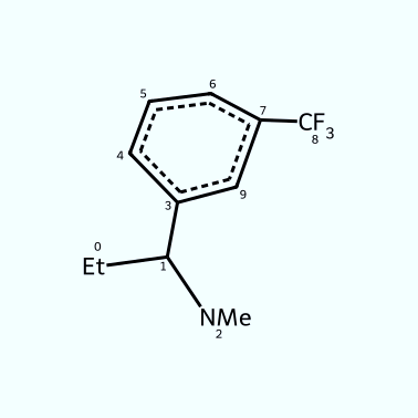 CCC(NC)c1cccc(C(F)(F)F)c1